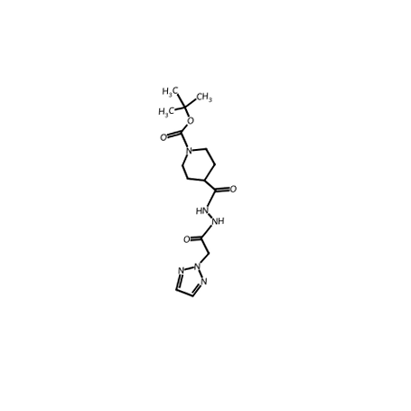 CC(C)(C)OC(=O)N1CCC(C(=O)NNC(=O)Cn2nccn2)CC1